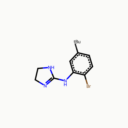 CC(C)(C)c1ccc(Br)c(NC2=NCCN2)c1